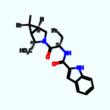 CCC1(C)C2[C@@H](C(=O)O)N(C(=O)[C@H](CC(C)C)NC(=O)c3cc4ccccc4[nH]3)C[C@@H]21